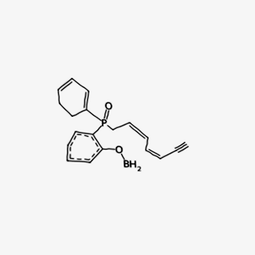 BOc1ccccc1P(=O)(C/C=C\C=C/C#C)C1=CC=CCC1